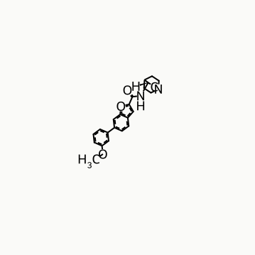 COc1cccc(-c2ccc3cc(C(=O)N[C@H]4CN5CCC4CC5)oc3c2)c1